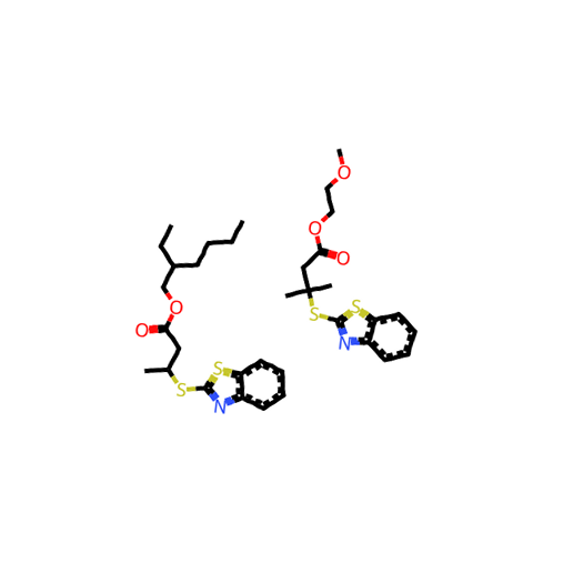 CCCCC(CC)COC(=O)CC(C)Sc1nc2ccccc2s1.COCCOC(=O)CC(C)(C)Sc1nc2ccccc2s1